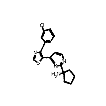 NC1(c2nccc(-c3scnc3-c3cccc(Cl)c3)n2)CCCC1